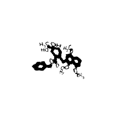 COc1cc(CC2CCC(O)(C(C)O)CC2C(=O)OCc2ccccc2)c(OC)c2c(OC)cccc12